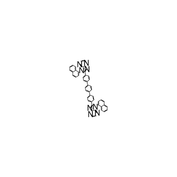 c1ccc2c(-n3c(-c4ccc(-c5ccc(-c6ccc(-c7nc8nccnc8n7-c7cccc8ccccc78)cc6)cc5)cc4)nc4nccnc43)cccc2c1